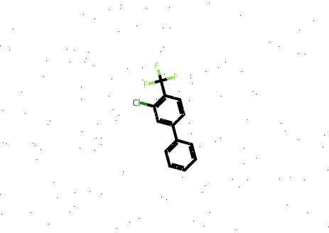 FC(F)(F)c1ccc(-c2ccccc2)cc1Cl